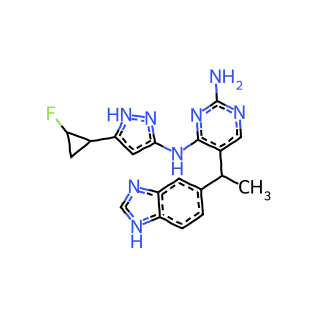 CC(c1ccc2[nH]cnc2c1)c1cnc(N)nc1Nc1cc(C2CC2F)[nH]n1